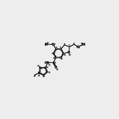 CCOCC1Cc2c(OC(C)C)cc(C(=O)Nc3ccn(C)n3)cc2O1